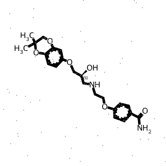 CC1(C)COc2cc(OC[C@@H](O)CNCCOc3ccc(C(N)=O)cc3)ccc2O1